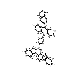 C1=C(c2ccc(-c3c4c(c(-c5ccc6ccccc6c5)c5ccccc35)=CCCC=4)cc2)C2Oc3ccccc3C2c2ccc3c(sc4ccccc43)c21